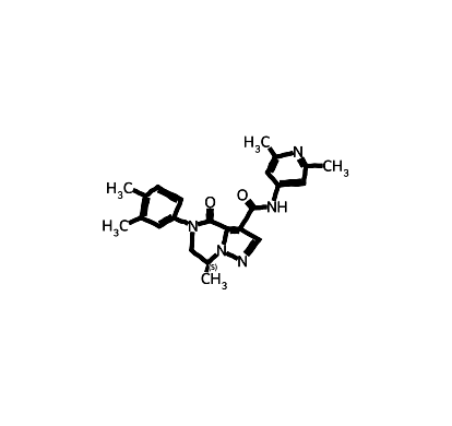 Cc1cc(NC(=O)c2cnn3c2C(=O)N(c2ccc(C)c(C)c2)C[C@@H]3C)cc(C)n1